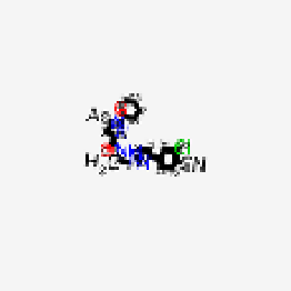 CC(=O)c1cc(C(=O)NC(C)Cn2ccc(-c3ccc(C#N)c(Cl)c3)n2)nn1C1CCCCO1